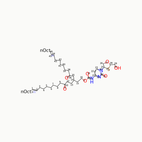 CCCCCCCC/C=C/CCCCCCCC(=O)CCC(CCOC(=O)Nc1ccn(C2COC(CO)S2)c(=O)n1)CC(=O)CCCCCC/C=C/CCCCCCCC